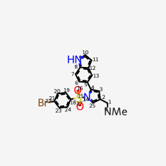 CNCc1cc(-c2ccc3[nH]ccc3c2)n(S(=O)(=O)c2ccc(Br)cc2)c1